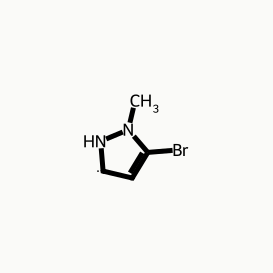 CN1N[CH]C=C1Br